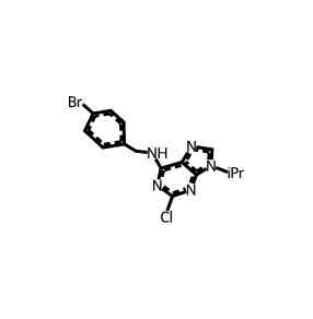 CC(C)n1cnc2c(NCc3ccc(Br)cc3)nc(Cl)nc21